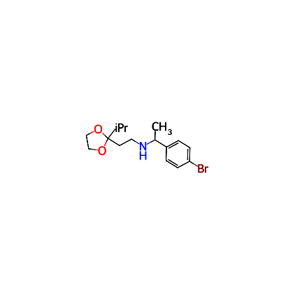 CC(NCCC1(C(C)C)OCCO1)c1ccc(Br)cc1